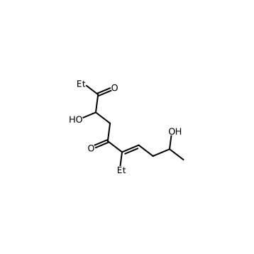 CCC(=O)C(O)CC(=O)C(=CCC(C)O)CC